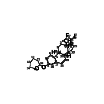 C[C@]12CC[C@@H]3c4ccc(OC5CCCCO5)cc4C=C[C@H]3[C@@H]1CCC2=C(F)F